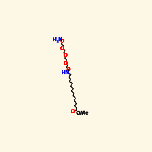 COC(=O)CCCCCCCCCCCCCCCNOCCOCCOCCOCCON